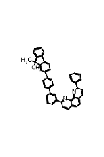 CC1(C)c2ccccc2-c2ccc(-c3ccc(-c4cccc(-c5ccc6ccc7ccc(-c8ccccc8)nc7c6n5)c4)cc3)cc21